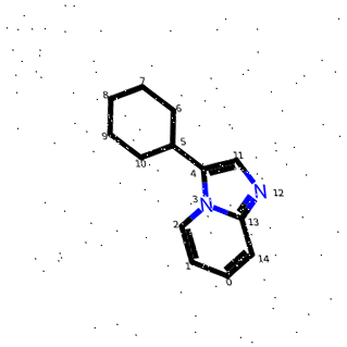 c1ccn2c(C3CCCCC3)cnc2c1